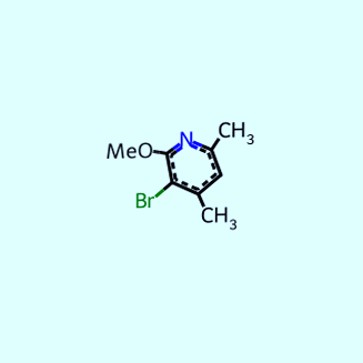 COc1nc(C)cc(C)c1Br